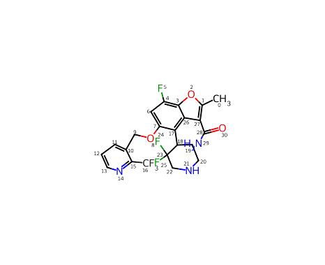 Cc1oc2c(F)cc(OCc3cccnc3C(F)(F)F)c(C3CCNCC3(F)F)c2c1C(N)=O